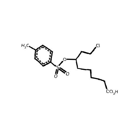 Cc1ccc(S(=O)(=O)OC(CCCl)CCCCC(=O)O)cc1